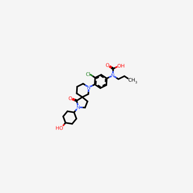 CCCN(C(=O)O)c1ccc(N2CCCC3(CCN(C4CCC(O)CC4)C3=O)C2)c(Cl)c1